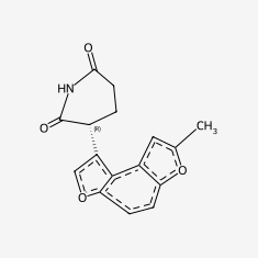 Cc1cc2c(ccc3occ([C@H]4CCC(=O)NC4=O)c32)o1